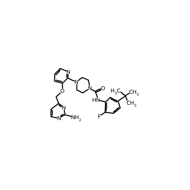 CC(C)(C)c1ccc(F)c(NC(=O)N2CCN(c3ncccc3OCc3ccnc(N)n3)CC2)c1